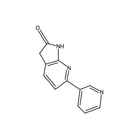 O=C1Cc2ccc(-c3cccnc3)nc2N1